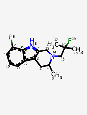 CC1Cc2c([nH]c3c(F)cccc23)CN1CC(C)(C)F